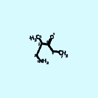 [CH2]C(CN)C(=O)CC